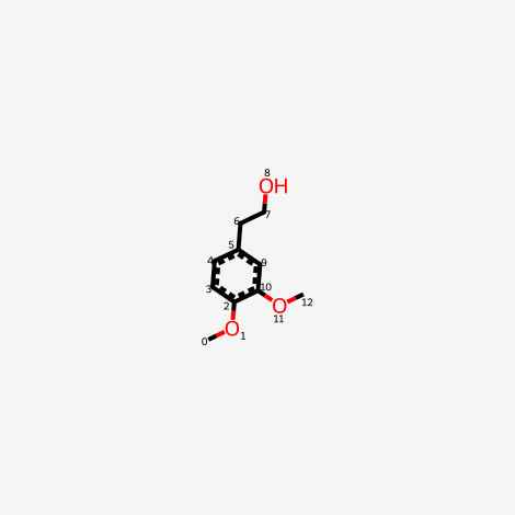 COc1ccc(CCO)cc1OC